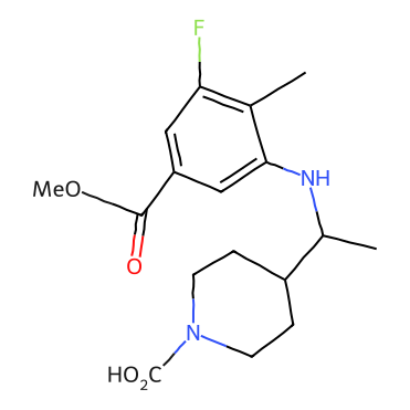 COC(=O)c1cc(F)c(C)c(NC(C)C2CCN(C(=O)O)CC2)c1